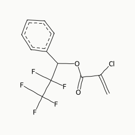 C=C(Cl)C(=O)OC(c1ccccc1)C(F)(F)C(F)(F)F